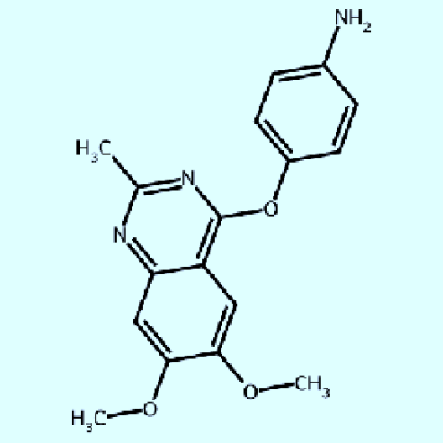 COc1cc2nc(C)nc(Oc3ccc(N)cc3)c2cc1OC